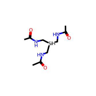 CC(=O)NC[SiH](CNC(C)=O)CNC(C)=O